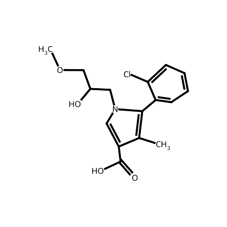 COCC(O)Cn1cc(C(=O)O)c(C)c1-c1ccccc1Cl